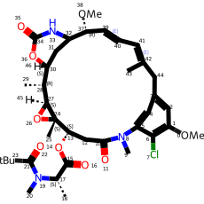 COc1cc2cc(c1Cl)N(C)C(=O)C[C@H](OC(=O)[C@H](C)N(C)C(=O)C(C)(C)C)[C@]1(C)O[C@H]1[C@H](C)[C@@H]1CC(NC(=O)O1)[C@H](OC)/C=C/C=C(\C)C2